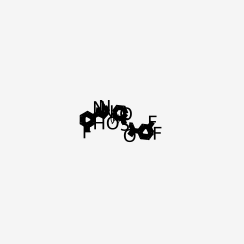 O=C(CSC1OCCC(n2cc(-c3cccc(F)c3)nn2)[C@H]1O)c1ccc(F)c(F)c1